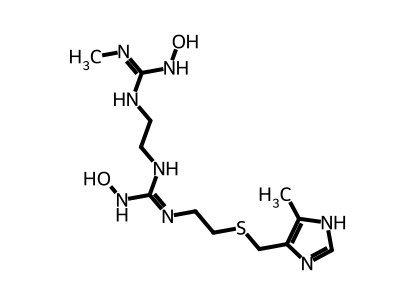 C/N=C(/NO)NCCN/C(=N\CCSCc1nc[nH]c1C)NO